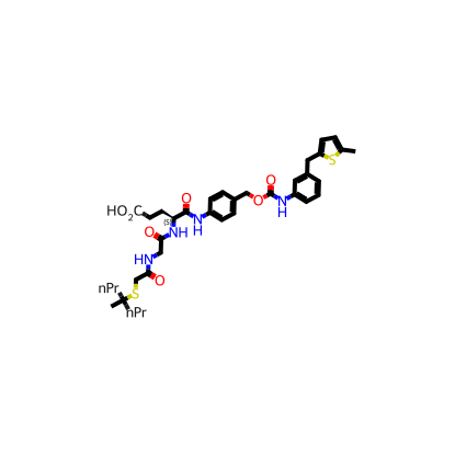 CCCC(C)(CCC)SCC(=O)NCC(=O)N[C@@H](CCC(=O)O)C(=O)Nc1ccc(COC(=O)Nc2cccc(Cc3ccc(C)s3)c2)cc1